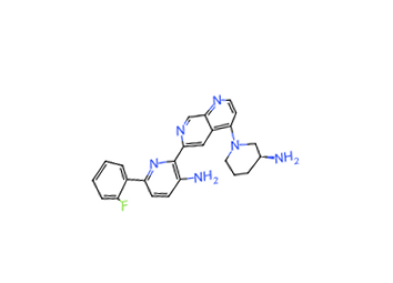 Nc1ccc(-c2ccccc2F)nc1-c1cc2c(N3CCC[C@H](N)C3)ccnc2cn1